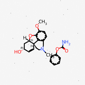 COc1ccc2c3c1O[C@H]1C[C@@H](O)C=C[C@@]31CCN(C)C2.NC(=O)Oc1ccccc1